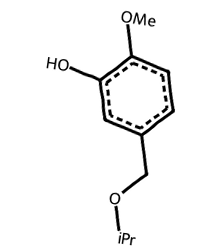 COc1ccc(COC(C)C)cc1O